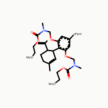 C=C(C)C1CCC(C)=CC1c1c(OCN(C)C(=O)OCCOC)cc(CCCCC)cc1OCN(C)C(=O)OCCOC